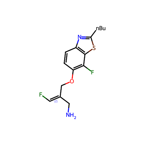 CCCCc1nc2ccc(OC/C(=C\F)CN)c(F)c2s1